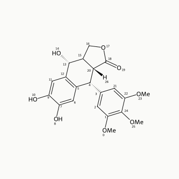 COc1cc([C@@H]2c3cc(O)c(O)cc3[C@H](O)C3COC(=O)[C@@H]32)cc(OC)c1OC